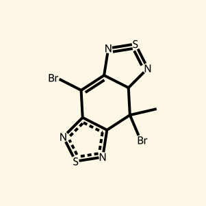 CC1(Br)c2nsnc2C(Br)=C2N=S=NC21